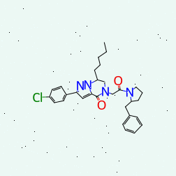 CCCCCC1CN(CC(=O)N2CCCC2Cc2ccccc2)C(=O)c2cc(-c3ccc(Cl)cc3)nn21